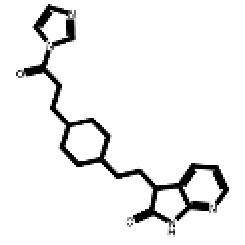 O=C1Nc2ncccc2C1CCC1CCC(CCC(=O)n2ccnc2)CC1